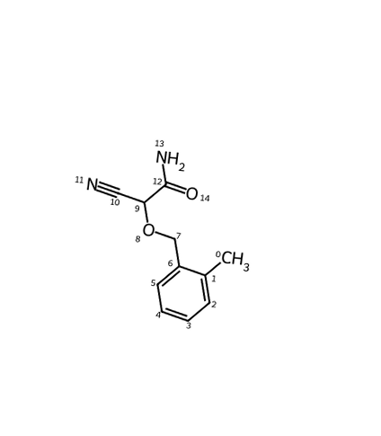 Cc1ccccc1COC(C#N)C(N)=O